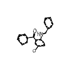 O=C(c1ccccc1)c1cc(Cl)ccc1NCc1ccccc1